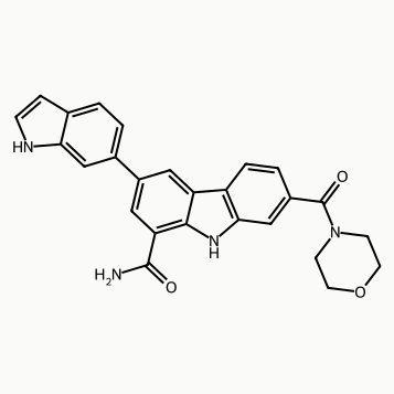 NC(=O)c1cc(-c2ccc3cc[nH]c3c2)cc2c1[nH]c1cc(C(=O)N3CCOCC3)ccc12